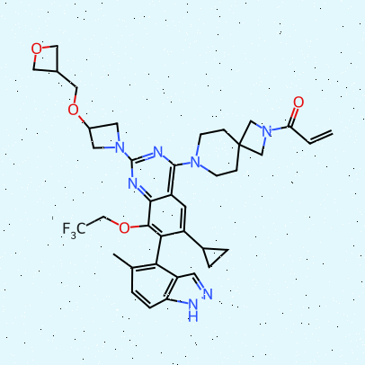 C=CC(=O)N1CC2(CCN(c3nc(N4CC(OCC5COC5)C4)nc4c(OCC(F)(F)F)c(-c5c(C)ccc6[nH]ncc56)c(C5CC5)cc34)CC2)C1